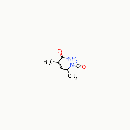 CC(=CC(C)N=C=O)C(N)=O